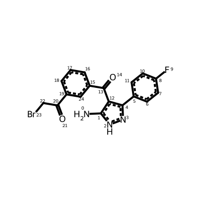 Nc1[nH]nc(-c2ccc(F)cc2)c1C(=O)c1cccc(C(=O)CBr)c1